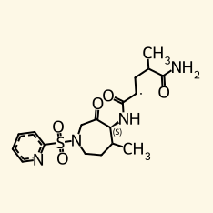 CC(C[CH]C(=O)N[C@@H]1C(=O)CN(S(=O)(=O)c2ccccn2)CCC1C)C(N)=O